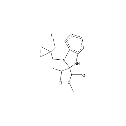 COC(=O)C1(C(C)Cl)Nc2ccccc2N1CC1(CF)CC1